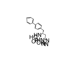 O=P(O)(O)CN[C@@H](Cc1ccc(-c2ccccc2)cc1)Cc1nnn[nH]1